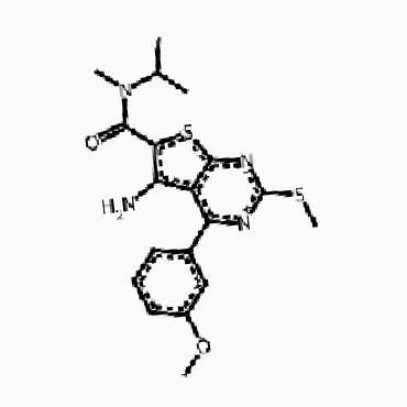 COc1cccc(-c2nc(SC)nc3sc(C(=O)N(C)C(C)C)c(N)c23)c1